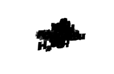 CC[C@H](N[S+]([O-])C(C)(C)C)c1cc(=O)n(C)cc1-c1cc(C(C)N[SH](=O)=O)c(F)cc1C(=O)c1ccc(F)cc1